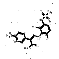 CCCCC(CC)/C(=C\Nc1c(F)ccc(NS(=O)(=O)CCC)c1F)c1ccc(N)nc1